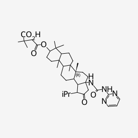 CC(C)C1C(=O)CC2(NC(=O)Nc3ncccn3)CC[C@]3(C)C(CCC4C5(C)CCC(OC(=O)CC(C)(C)C(=O)O)C(C)(C)C5CCC43C)C12